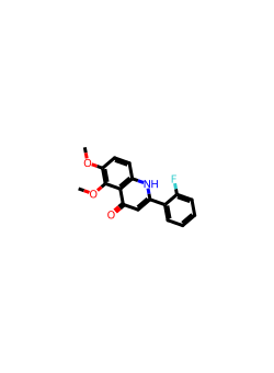 COc1ccc2[nH]c(-c3ccccc3F)cc(=O)c2c1OC